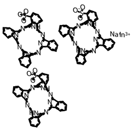 O=S(=O)([O-])c1cccc2c3nc4nc(nc5[n-]c(nc6nc(nc([nH]3)c12)-c1ccccc1-6)c1ccccc51)-c1ccccc1-4.O=S(=O)([O-])c1cccc2c3nc4nc(nc5[nH]c(nc6nc(nc([nH]3)c12)-c1ccccc1-6)c1ccccc51)-c1ccccc1-4.O=S(=O)([O-])c1cccc2c3nc4nc(nc5[nH]c(nc6nc(nc([nH]3)c12)-c1ccccc1-6)c1ccccc51)-c1ccccc1-4.[In+3].[Na+]